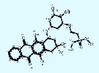 CCOP(=O)(CCN[C@H]1C[C@H](O[C@H]2C[C@](O)(C(C)=O)Cc3c(O)c4c(c(O)c32)C(=O)c2ccccc2C4=O)O[C@@H](C)[C@H]1O)OCC